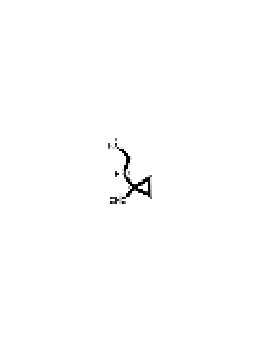 O=CC1(NCC(F)(F)F)CC1